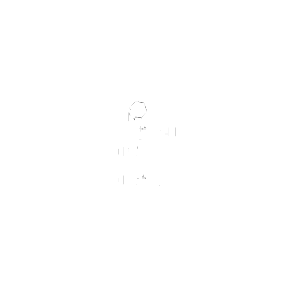 CC(C)(C)OC[C@@H](c1ccccn1)C(C)(S)CCC(C)(C)OC[C@@H](C1CC1)C(C)(C)C